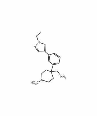 NCC1(c2cccc(-c3cnn(CI)c3)c2)CCN(C(=O)O)CC1